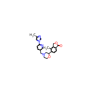 Cc1cn(-c2ccc(CN3CCOC(c4ccc5c(c4C)COC5=O)C3)cn2)cn1